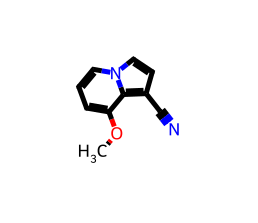 COc1cccn2ccc(C#N)c12